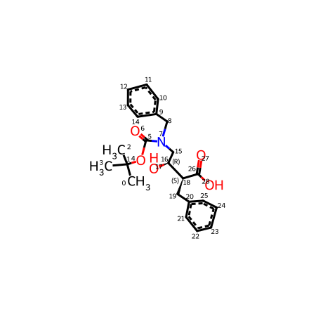 CC(C)(C)OC(=O)N(Cc1ccccc1)C[C@H](O)[C@H](Cc1ccccc1)C(=O)O